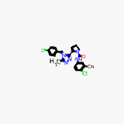 Cc1nnc([C@H]2CCCN2C(=O)Nc2ccc(Cl)c(C#N)c2)n1Cc1ccc(Cl)cc1